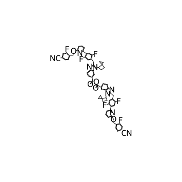 N#Cc1ccc(COc2cccc(-c3cc(F)c(Cc4nc5ccc(C(=O)OC(=O)c6ccc7nc(Cc8cc(F)c(-c9cccc(OCc%10ccc(C#N)cc%10F)n9)cc8F)n(C8CCC89CC9)c7c6)cc5n4C4CCC45CC5)cc3F)n2)c(F)c1